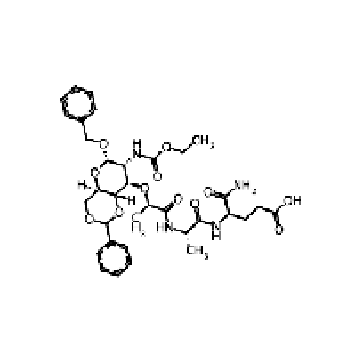 CCOC(=O)N[C@H]1[C@@H](OCc2ccccc2)O[C@@H]2COC(c3ccccc3)O[C@H]2[C@@H]1O[C@H](C)C(=O)N[C@@H](C)C(=O)NC(CCC(=O)O)C(N)=O